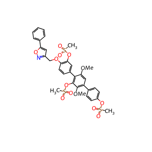 COc1cc(-c2ccc(OS(C)(=O)=O)cc2)c(OC)c(OS(C)(=O)=O)c1-c1ccc(OCc2cc(-c3ccccc3)on2)c(OS(C)(=O)=O)c1